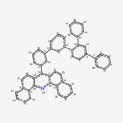 c1ccc(-c2ccc(-c3cccc(-c4cccc(-c5c6ccc7ccccc7c6nc6c5ccc5ccccc56)c4)c3)c(-c3ccccc3)c2)cc1